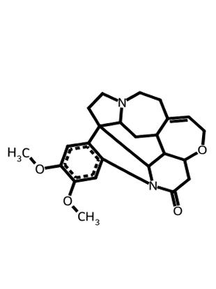 COc1cc2c(cc1OC)C13CCN4CCC5=CCOC6CC(=O)N2C1C6C5CC43